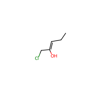 CCC=C(O)CCl